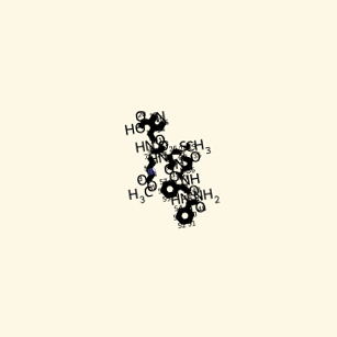 COC(=O)/C=C/CC[C@H](NC(=O)Cc1ccncc1C(=O)O)C(=O)N[C@@H](CCSC)C(=O)N1CC(=O)C[C@H]1C(=O)N[C@H](C(=O)N[C@H](C(N)=O)C1CCCCC1)C1CCCCC1